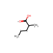 CC[CH]C(C)C(=O)O